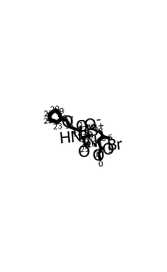 COC(=O)C1=C(CBr)C[S+]([O-])[C@H]2C(NC(=O)COc3ccccc3)C(=O)N12